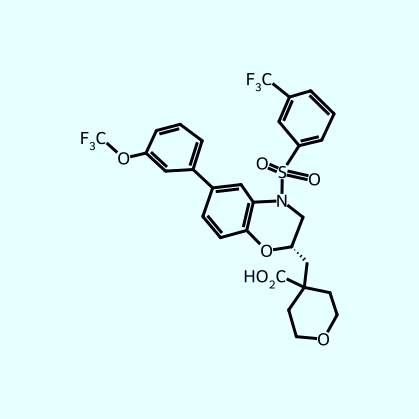 O=C(O)C1(C[C@H]2CN(S(=O)(=O)c3cccc(C(F)(F)F)c3)c3cc(-c4cccc(OC(F)(F)F)c4)ccc3O2)CCOCC1